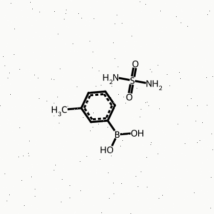 Cc1cccc(B(O)O)c1.NS(N)(=O)=O